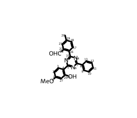 COc1ccc(-c2nc(-c3ccccc3)nc(-c3ccc(C)cc3C=O)n2)c(O)c1